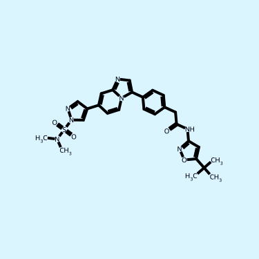 CN(C)S(=O)(=O)n1cc(-c2ccn3c(-c4ccc(CC(=O)Nc5cc(C(C)(C)C)on5)cc4)cnc3c2)cn1